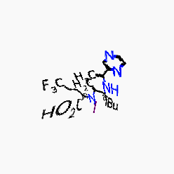 C=C(NC(C(=C)N(I)[C@@H](CCC(F)(F)F)C(=O)O)[C@@H](C)CC)c1cnccn1